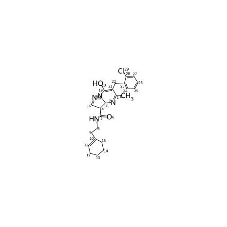 CC1=NC2C(C(=O)NCCC3=CCCCC3)C=NN2C(O)=C1Cc1ccccc1Cl